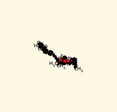 CCOc1cc(-c2ccc(N3CCC(CN(C(=O)CCCCCCN4CCN(c5ccc6c(c5)C(=O)N(C5CCC(=O)NC5=O)C6)CC4)C(C)C)(NC(=O)c4cc(F)ccc4F)CC3)nc2)c2c(C#N)cnn2c1